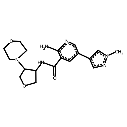 Cn1cc(-c2cnc(N)c(C(=O)NC3COCC3N3CCOCC3)c2)cn1